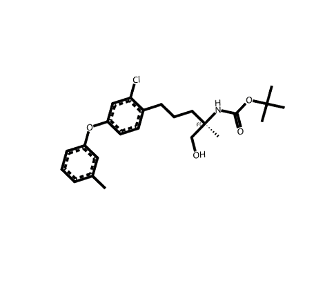 Cc1cccc(Oc2ccc(CCC[C@](C)(CO)NC(=O)OC(C)(C)C)c(Cl)c2)c1